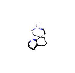 c1cnc2c(c1)CCCC21CCNCC1